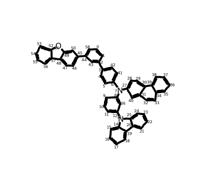 c1cc(-c2ccc(N(c3cccc(-n4c5ccccc5c5ccccc54)c3)c3ccc4c(ccc5ccccc54)c3)cc2)cc(-c2ccc3c(c2)oc2ccccc23)c1